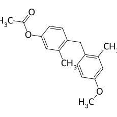 COc1ccc(Cc2ccc(OC(C)=O)cc2C)c(C)c1